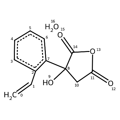 C=Cc1ccccc1C1(O)CC(=O)OC1=O.O